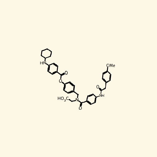 COc1ccc(CC(=O)Nc2ccc(C(=O)N(CC(=O)O)Cc3ccc(OC(=O)c4ccc(NC5CCCCC5)cc4)cc3)cc2)cc1